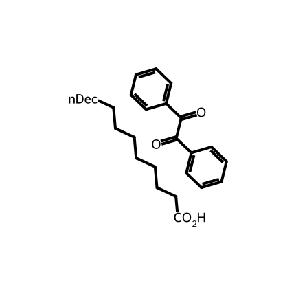 CCCCCCCCCCCCCCCCCC(=O)O.O=C(C(=O)c1ccccc1)c1ccccc1